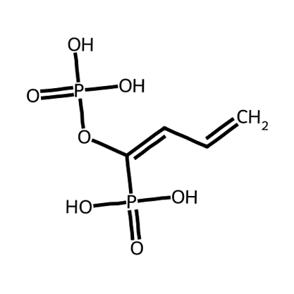 C=CC=C(OP(=O)(O)O)P(=O)(O)O